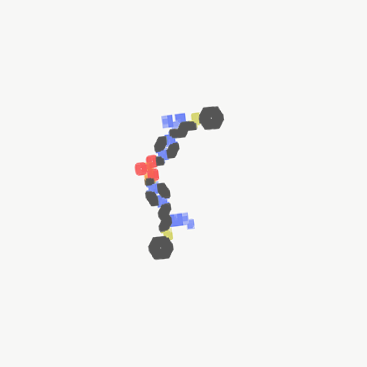 N[C@H](CCN1CCN(CO[PH](=O)OCN2CCN(CC[C@@H](N)CSc3ccccc3)CC2)CC1)CSc1ccccc1